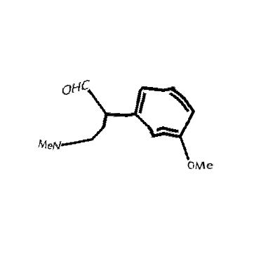 CNCC(C=O)c1cccc(OC)c1